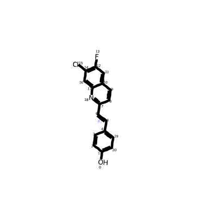 Oc1ccc(/C=C/c2ccc3cc(F)c(Cl)cc3n2)cc1